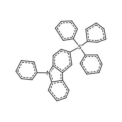 c1ccc(-n2c3ccccc3c3cc(S(c4ccccc4)(c4ccccc4)c4ccccc4)ccc32)cc1